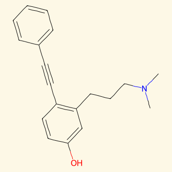 CN(C)CCCc1cc(O)ccc1C#Cc1ccccc1